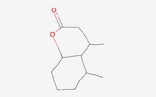 CC1CCCC2OC(=O)CC(C)C12